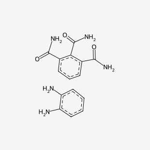 NC(=O)c1cccc(C(N)=O)c1C(N)=O.Nc1ccccc1N